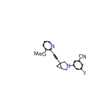 COc1cccnc1C#CC12CC1CN(c1cc(F)cc(C#N)c1)C2